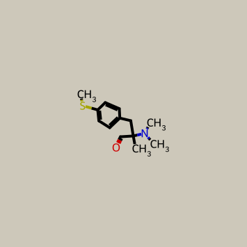 CSc1ccc(CC(C)(C=O)N(C)C)cc1